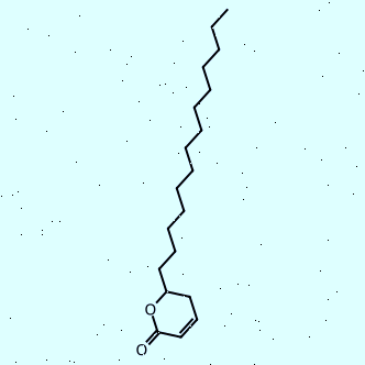 CCCCCCCCCCCCCCC1CC=CC(=O)O1